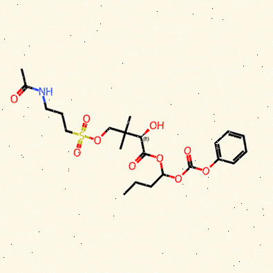 CCCC(OC(=O)Oc1ccccc1)OC(=O)[C@H](O)C(C)(C)COS(=O)(=O)CCCNC(C)=O